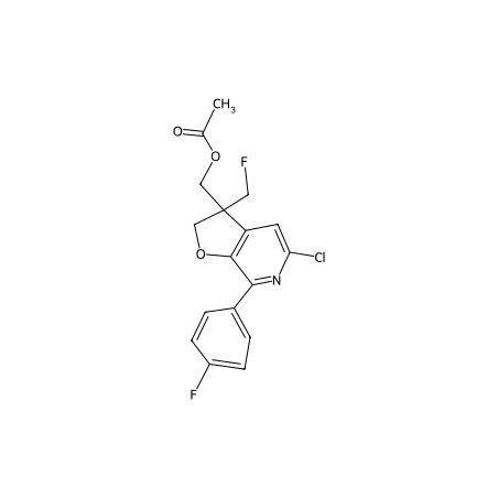 CC(=O)OCC1(CF)COc2c1cc(Cl)nc2-c1ccc(F)cc1